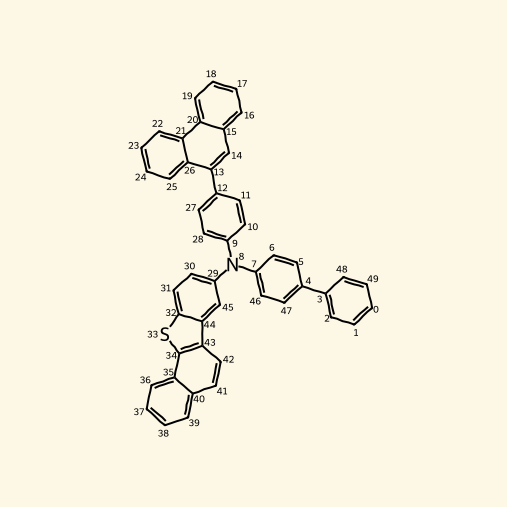 c1ccc(-c2ccc(N(c3ccc(-c4cc5ccccc5c5ccccc45)cc3)c3ccc4sc5c6ccccc6ccc5c4c3)cc2)cc1